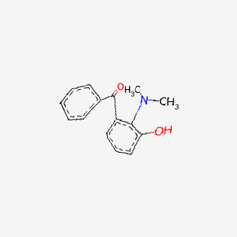 CN(C)c1c(O)cccc1C(=O)c1ccccc1